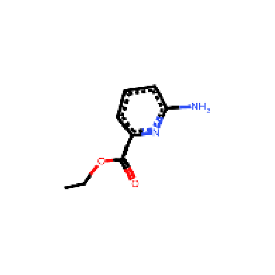 CCOC(=O)c1cccc(N)n1